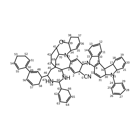 N#CC1C=C2C(=CC1n1c3c(c4ccccc41)C1C4C=CC=CC4N(c4ccccc4)C1C=C3)N1C3C=CCCC3OC3CCC4(CC(C5C=C(C6=CCCC=C6)C=CC5)NC(C5C=CC=CC5)NC24)CC31